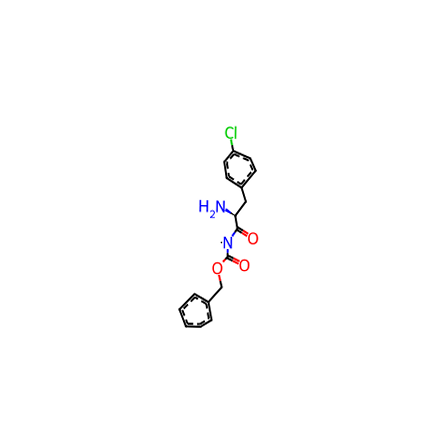 N[C@@H](Cc1ccc(Cl)cc1)C(=O)[N]C(=O)OCc1ccccc1